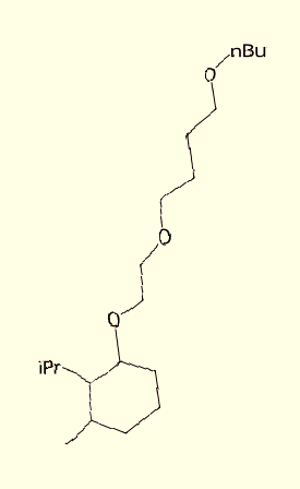 CCCCOCCCCOCCOC1CCCC(C)C1C(C)C